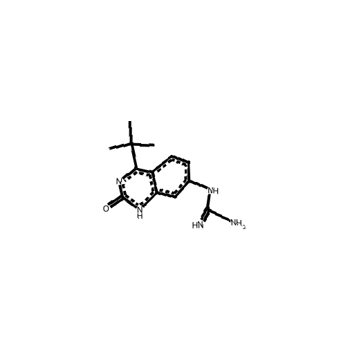 CC(C)(C)c1nc(=O)[nH]c2cc(NC(=N)N)ccc12